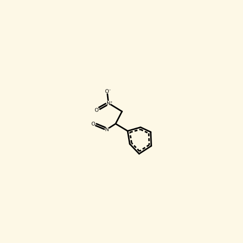 O=NC(C[N+](=O)[O-])c1ccccc1